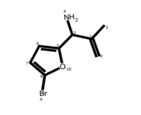 C=C(C)C(N)c1ccc(Br)o1